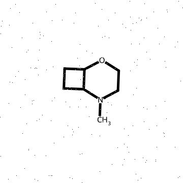 CN1CCOC2CCC21